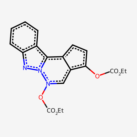 CCOC(=O)Oc1ccc2c3c4ccccc4nn3n(OC(=O)OCC)cc1-2